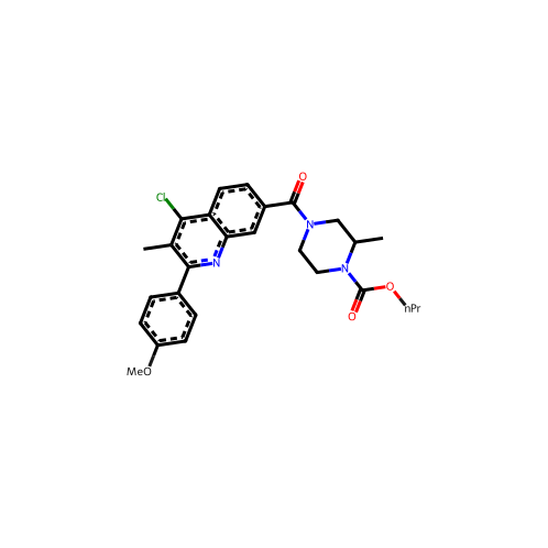 CCCOC(=O)N1CCN(C(=O)c2ccc3c(Cl)c(C)c(-c4ccc(OC)cc4)nc3c2)CC1C